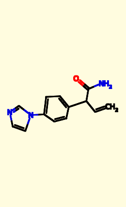 C=CC(C(N)=O)c1ccc(-n2ccnc2)cc1